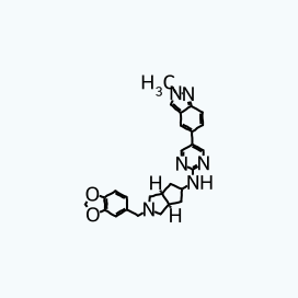 Cn1cc2cc(-c3cnc(NC4C[C@@H]5CN(Cc6ccc7c(c6)OCO7)C[C@@H]5C4)nc3)ccc2n1